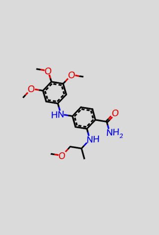 COCC(C)Nc1cc(Nc2cc(OC)c(OC)c(OC)c2)ccc1C(N)=O